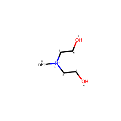 CCC[N+](CCO)CCO